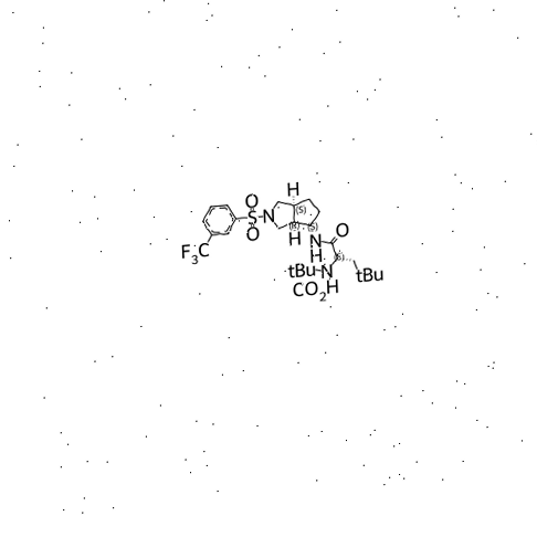 CC(C)(C)C[C@@H](C(=O)N[C@H]1CC[C@@H]2CN(S(=O)(=O)c3cccc(C(F)(F)F)c3)C[C@@H]21)N(C(=O)O)C(C)(C)C